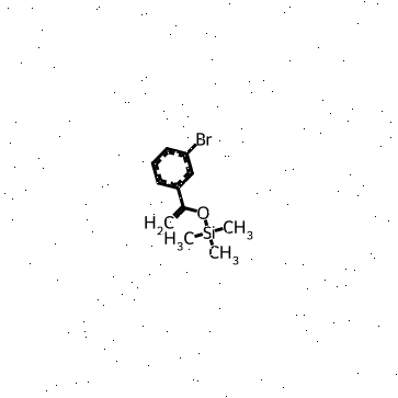 C=C(O[Si](C)(C)C)c1cccc(Br)c1